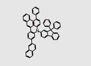 c1ccc(-c2ccc(N(c3ccc4c(c3)C(c3ccccc3)(c3ccccc3)c3ccccc3-4)c3cc(-c4ccc5ccccc5c4)ccc3-c3ccc4ccccc4c3)cc2)cc1